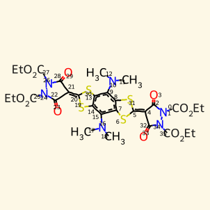 CCOC(=O)N1C(=O)C(=C2Sc3c(c(N(C)C)c4c(c3N(C)C)SC(=C3C(=O)N(C(=O)OCC)N(C(=O)OCC)C3=O)S4)S2)C(=O)N1C(=O)OCC